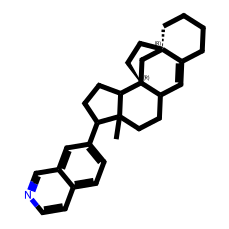 CC12CCC3C=C4CCCC[C@]45CC[C@]3(C5)C1CCC2c1ccc2ccncc2c1